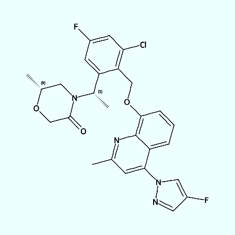 Cc1cc(-n2cc(F)cn2)c2cccc(OCc3c(Cl)cc(F)cc3[C@H](C)N3C[C@@H](C)OCC3=O)c2n1